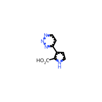 O=C(O)c1[nH]ccc1-c1ccnnn1